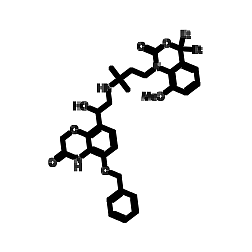 CCC1(CC)OC(=O)N(CCC(C)(C)NCC(O)c2ccc(OCc3ccccc3)c3c2OCC(=O)N3)c2c(OC)cccc21